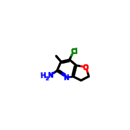 Cc1c(N)nc2c(c1Cl)OCC2